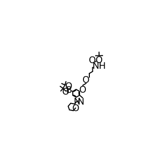 CC(C)(C)OC(=O)NCCCCOCCOc1cc(B2OC(C)(C)C(C)(C)O2)cc2c1cnn2C1CCCCO1